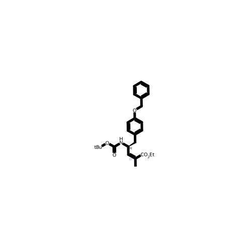 CCOC(=O)/C(C)=C\[C@H](Cc1ccc(OCc2ccccc2)cc1)NC(=O)OC(C)(C)C